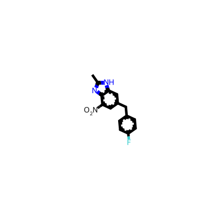 Cc1nc2c([N+](=O)[O-])cc(Cc3ccc(F)cc3)cc2[nH]1